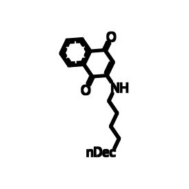 CCCCCCCCCCCCCCNC1=CC(=O)c2ccccc2C1=O